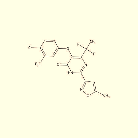 Cc1cc(-c2nc(C(F)(F)C(F)(F)F)c(Oc3ccc(Cl)c(C(F)(F)F)c3)c(=O)[nH]2)no1